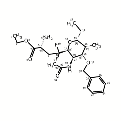 CCOC(=O)[C@H](N)CC(F)(F)[C@H]1O[C@H](CC)[C@H](C)[C@H](OCc2ccccc2)[C@H]1NC(C)=O